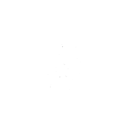 CCC(N(CO)C(CO)CO)N(CO)C(CO)CO.Cl